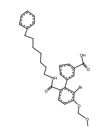 COCOc1ccc(C(=O)NCCCCCCCc2ccccc2)c(-c2cccc(C(=O)O)c2)c1Br